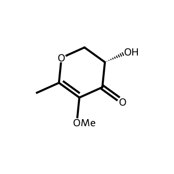 COC1=C(C)OC[C@H](O)C1=O